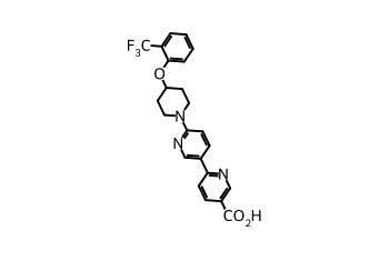 O=C(O)c1ccc(-c2ccc(N3CCC(Oc4ccccc4C(F)(F)F)CC3)nc2)nc1